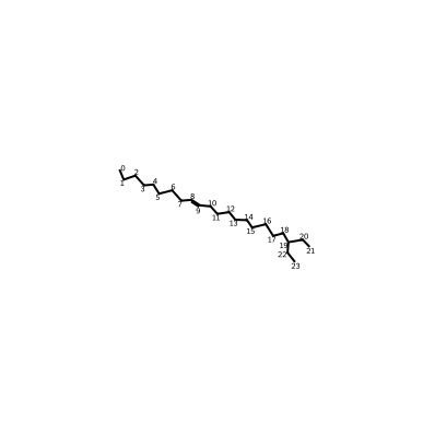 CCCCCCCC/C=C/CCCCCCCCCC(CC)CC